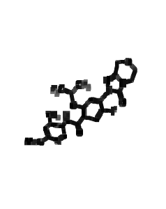 COc1cc(C)c(NC(=O)c2cc(F)c(-n3nc4n(c3=O)CCOC4)cc2OC(C)C(F)(F)F)cn1